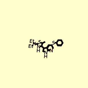 CCN(CC)C1NC(C2CNC3=NCC(SC4C=CCCC4)C=C32)C(C)S1